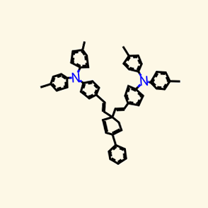 Cc1ccc(N(c2ccc(C)cc2)c2ccc(C=CC3(C=Cc4ccc(N(c5ccc(C)cc5)c5ccc(C)cc5)cc4)C=CC(c4ccccc4)=CC3)cc2)cc1